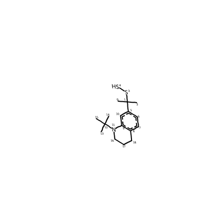 CC(C)(SS)c1ccc2c(c1)N(C(C)(C)C)CCC2